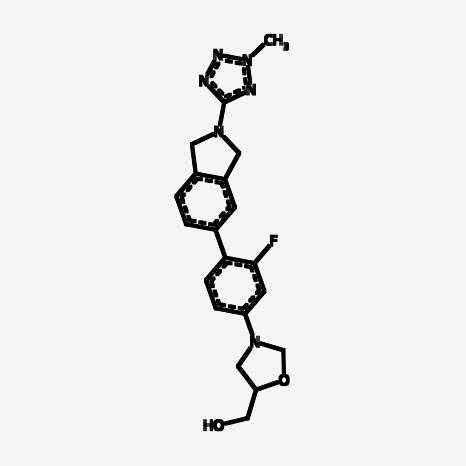 Cn1nnc(N2Cc3ccc(-c4ccc(N5COC(CO)C5)cc4F)cc3C2)n1